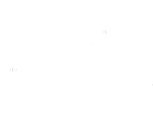 CCCCCCCCCCCCC(CO)OCCCCCCCCCC